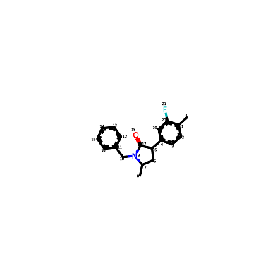 Cc1ccc(C2CC(C)N(Cc3ccccc3)C2=O)cc1F